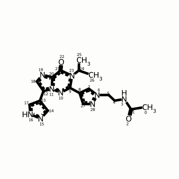 CC(=O)NCCn1cc(-c2nn3c(-c4cn[nH]c4)cnc3c(=O)n2C(C)C)cn1